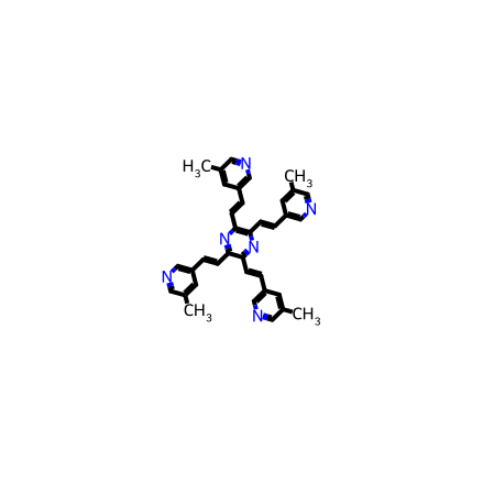 Cc1cncc(C=Cc2nc(C=Cc3cncc(C)c3)c(C=Cc3cncc(C)c3)nc2C=Cc2cncc(C)c2)c1